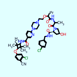 CC(NC(=O)C(OCCN1CCN(c2ccc(C(=O)NC3C(C)(C)C(Oc4ccc(C#N)c(Cl)c4)C3(C)C)cn2)CC1)C(C)C)C(=O)N1C[C@H](O)C[C@H]1C(=O)NCc1ccc(Cl)cc1